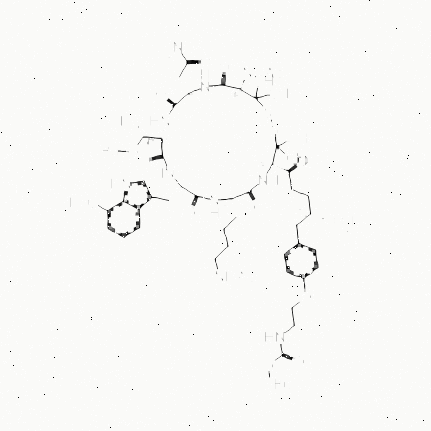 CC(=O)NCCCC[C@@H]1NC(=O)[C@H](Cc2c[nH]c3c(C)cccc23)NC(=O)[C@H]([C@@H](C)OC(C)(C)C)NC(=O)[C@H](CC(N)=O)NC(=O)[C@@H](NC(C)=O)C(C)(C)SSC(C)(C)[C@@H](C(=O)CC[C@@H](Cc2ccc(OCCNC(=O)OC(C)(C)C)cc2)C(=O)O)NC1=O